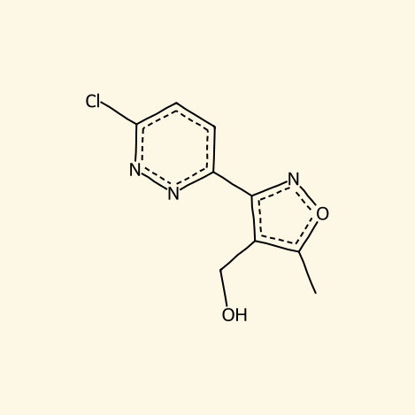 Cc1onc(-c2ccc(Cl)nn2)c1CO